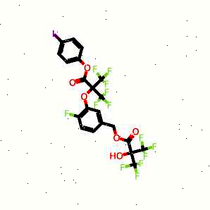 O=C(OCc1ccc(F)c(OC(C(=O)Oc2ccc(I)cc2)(C(F)(F)F)C(F)(F)F)c1)C(O)(C(F)(F)F)C(F)(F)F